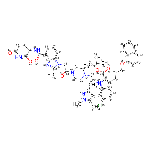 Cc1nn(C)c(C)c1-c1c(Cl)ccc2c(CCCOc3cccc4ccccc34)c(C(=O)OC(C)(C)C)n(CCN3CCN(C(=O)Cn4c(C)nc5c(C(=O)NC6CCC(=O)NC6=O)cccc54)CC3)c12